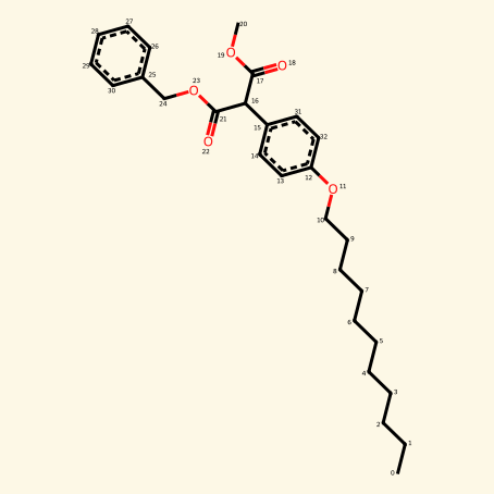 CCCCCCCCCCCOc1ccc(C(C(=O)OC)C(=O)OCc2ccccc2)cc1